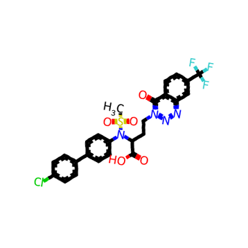 CS(=O)(=O)N(c1ccc(-c2ccc(Cl)cc2)cc1)C(CCn1nnc2cc(C(F)(F)F)ccc2c1=O)C(=O)O